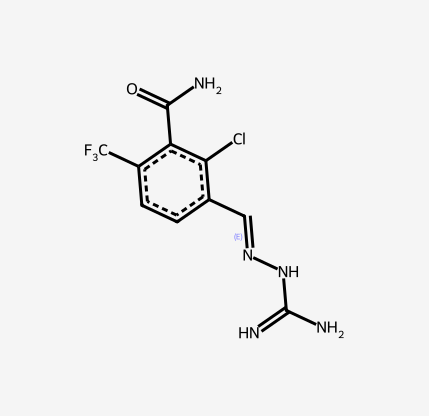 N=C(N)N/N=C/c1ccc(C(F)(F)F)c(C(N)=O)c1Cl